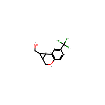 OCC1C2COc3ccc(C(F)(F)F)cc3C12